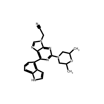 CC1CN(c2nc(-c3cccc4[nH]ccc34)c3ncn(CC#N)c3n2)CC(C)O1